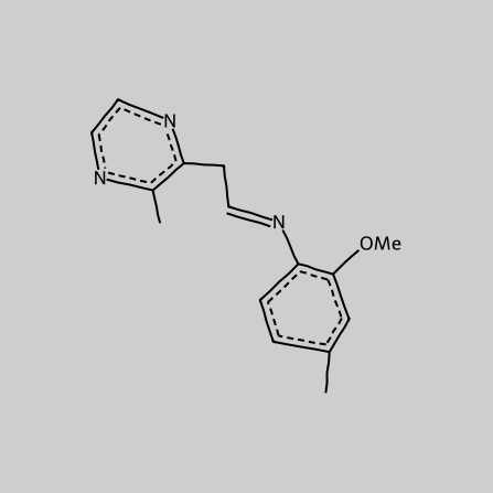 COc1cc(C)ccc1N=CCc1nccnc1C